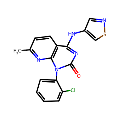 O=c1nc(Nc2cnsc2)c2ccc(C(F)(F)F)nc2n1-c1ccccc1Cl